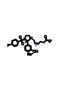 O=C([O-])CC/C=C\C[C@H]1CCN(S(=O)(=O)c2ccc(F)cc2)[C@@H]1c1cccc(O)c1.[Na+]